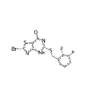 O=c1nc(SCc2cccc(F)c2F)[nH]c2nc(Br)sc12